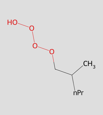 CCCC(C)COOOO